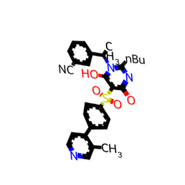 CCCCc1nc(=O)c(S(=O)(=O)c2ccc(-c3ccncc3C)cc2)c(O)n1C(C)c1cccc(C#N)c1